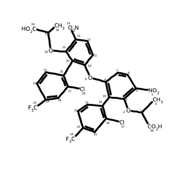 CC(Oc1c([N+](=O)[O-])ccc(Oc2ccc([N+](=O)[O-])c(OC(C)C(=O)O)c2-c2ccc(C(F)(F)F)cc2Cl)c1-c1ccc(C(F)(F)F)cc1Cl)C(=O)O